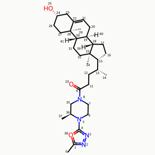 Cc1nnc(N2CCN(C(=O)CC[C@@H](C)[C@H]3CC[C@H]4[C@@H]5CC=C6C[C@@H](O)CC[C@]6(C)[C@H]5CC[C@]34C)C[C@@H]2C)o1